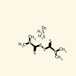 CN(C)C(=S)SSC(=S)N(C)C.S.S.[Zn]